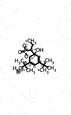 CCC(C1(O)C=C(C(C)(C)C)C=C(C(C)(C)C)C1)P(=O)([O-])[O-].[Ni+2]